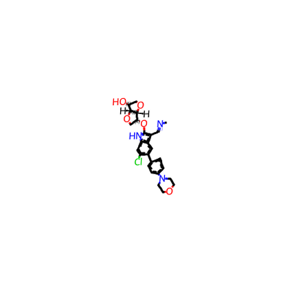 C/N=C/c1c(O[C@@H]2CO[C@H]3[C@@H]2OC[C@@H]3O)[nH]c2cc(Cl)c(-c3ccc(N4CCOCC4)cc3)cc12